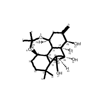 C=C1C[C@@H]2OC(C)(C)O[C@H]3CCC(C)(C)C4[C@H](O)[C@]5(O)OC[C@]43C2[C@@]5(CC)[C@@H]1O